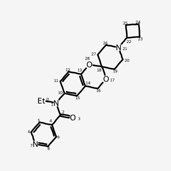 CCN(C(=O)c1ccncc1)c1ccc2c(c1)COC1(CCN(C3CCC3)CC1)O2